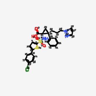 O=C(O)[C@@]1(NS(=O)(=O)c2ccc(-c3ccc(Cl)cc3)s2)C[C@@]1(CCCn1cccn1)c1ccccc1